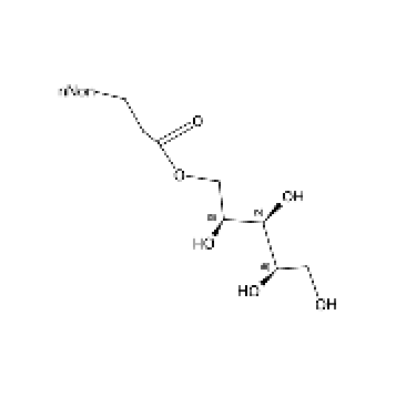 CCCCCCCCCCCC(=O)OC[C@H](O)[C@@H](O)[C@H](O)CO